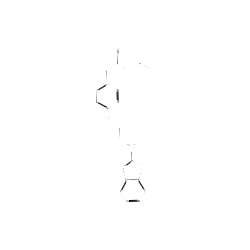 CC(C)C(Cc1ccc(OCCN(C)c2nc3ccccc3o2)cc1)OCF